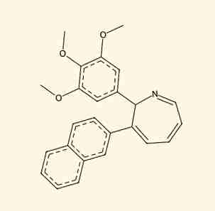 COc1cc(C2N=CC=CC=C2c2ccc3ccccc3c2)cc(OC)c1OC